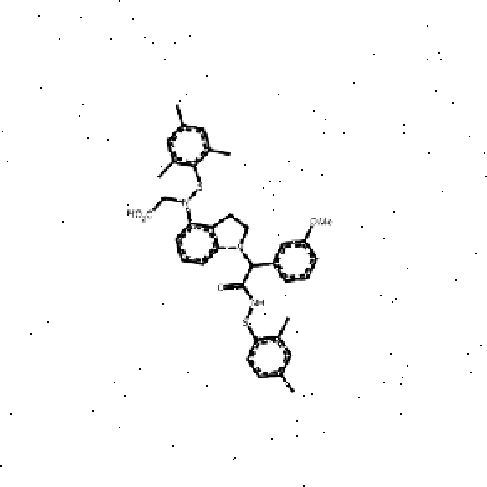 COc1cccc(C(C(=O)NSc2ccc(C)cc2C)N2CCc3c(N(CC(=O)O)Sc4c(C)cc(C)cc4C)cccc32)c1